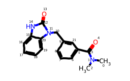 CN(C)C(=O)c1cccc(Cn2c(=O)[nH]c3ccccc32)c1